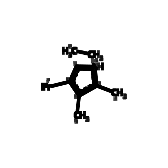 CC.Cc1[nH]cc(C(C)C)c1C